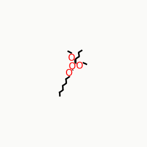 CCCCCCCOCOC(OCC)=C(CCC)OCC